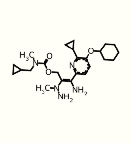 CN(CC1CC1)C(=O)OC/C(=C(/N)c1ccc(OC2CCCCC2)c(C2CC2)n1)N(C)N